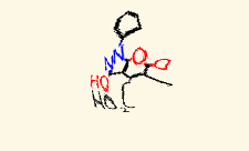 Cc1c(C(=O)O)c2c(O)nn(-c3ccccc3)c2oc1=O